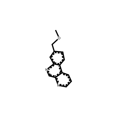 COCc1ccc2c(c1)ncc1ncccc12